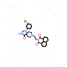 O=C1c2cccc3cccc(c23)C(=O)N1CCN1CCC2(CC1)C(=O)NCN2c1cccc(Br)c1